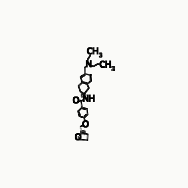 CCCN(CCC)Cc1ccc2c(c1)CC[C@H](NC(=O)c1ccc(OC[C@@H]3CCCO3)cc1)C2